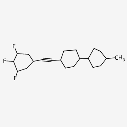 CC1CCC(C2CCC(C#CC3CC(F)C(F)C(F)C3)CC2)CC1